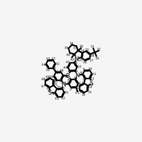 Cc1cc2c3c(c1)N(c1cccc4sc5ccccc5c14)c1cc(N4c5ccc(C(C)(C)C)cc5C5(C)CCCCC45C)ccc1B3c1cc(-c3ccccc3)ccc1N2c1cccc2sc3ccccc3c12